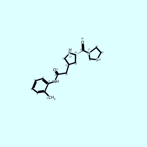 Cc1ccccc1NC(=O)CC1CN[C@H](C(=O)N2CCSC2)C1